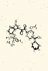 C[C@@H]1CN(C(=O)c2ccccc2)CCN1C(=O)C(=O)c1c[nH]c2nccc(OC(C)(C)C)c12